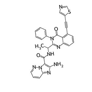 CC(NC(=O)c1c(N)nc2cccnn12)c1nc2cccc(C#Cc3cncs3)c2c(=O)n1-c1ccccc1